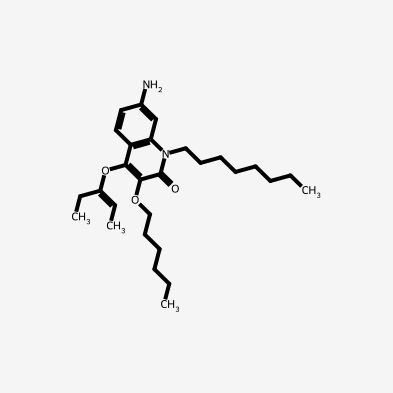 CC=C(CC)Oc1c(OCCCCCC)c(=O)n(CCCCCCCC)c2cc(N)ccc12